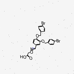 O=C(O)CO/N=C/c1ccc(OCc2ccc(Br)cc2)c(OCc2ccc(Br)cc2)c1